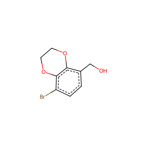 OCc1ccc(Br)c2c1OCCO2